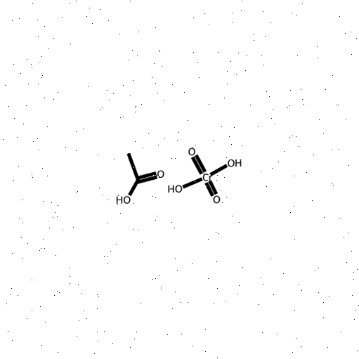 CC(=O)O.[O]=[Cr](=[O])([OH])[OH]